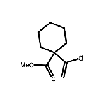 C=C(Cl)C1(C(=O)OC)CCCCC1